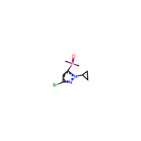 CP(C)(=O)c1cc(Br)nn1C1CC1